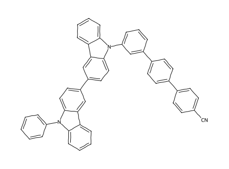 N#Cc1ccc(-c2ccc(-c3cccc(-n4c5ccccc5c5cc(-c6ccc7c(c6)c6ccccc6n7-c6ccccc6)ccc54)c3)cc2)cc1